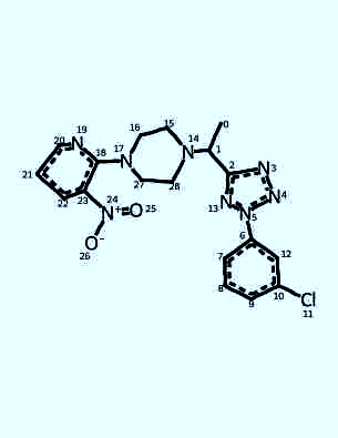 CC(c1nnn(-c2cccc(Cl)c2)n1)N1CCN(c2ncccc2[N+](=O)[O-])CC1